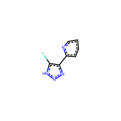 Fc1[nH]nnc1-c1ccccn1